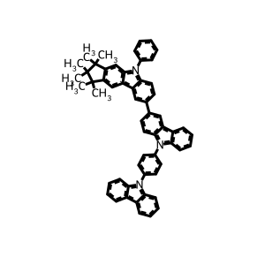 CC1(C)c2cc3c4cc(-c5ccc6c(c5)c5ccccc5n6-c5ccc(-n6c7ccccc7c7ccccc76)cc5)ccc4n(-c4ccccc4)c3cc2C(C)(C)C1(C)C